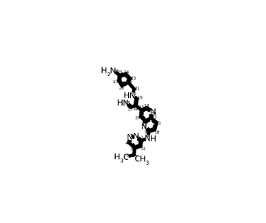 CC(C)c1cnnc(Nc2ccc3ncc(/C(C=N)=C/NCc4ccc(N)cc4)cc3n2)c1